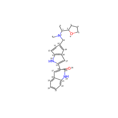 CC(C1CCCO1)N(C)Cc1ccc2[nH]c(-c3cc4ccccc4[nH]c3=O)cc2c1